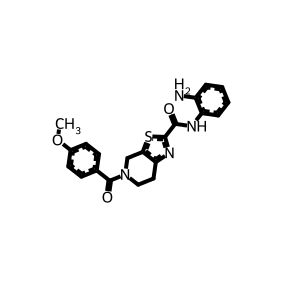 COc1ccc(C(=O)N2CCc3nc(C(=O)Nc4ccccc4N)sc3C2)cc1